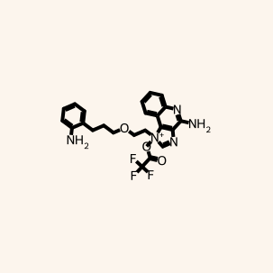 Nc1ccccc1CCCOCC[N+]1(OC(=O)C(F)(F)F)C=Nc2c(N)nc3ccccc3c21